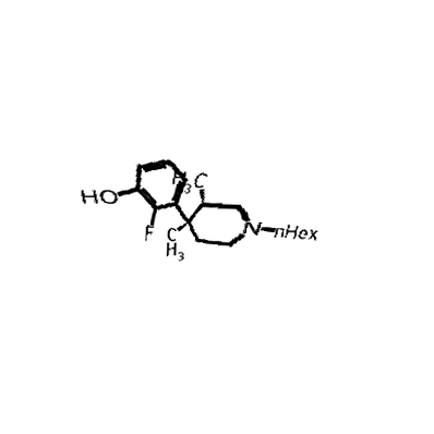 CCCCCCN1CC[C@](C)(c2cccc(O)c2F)[C@@H](C)C1